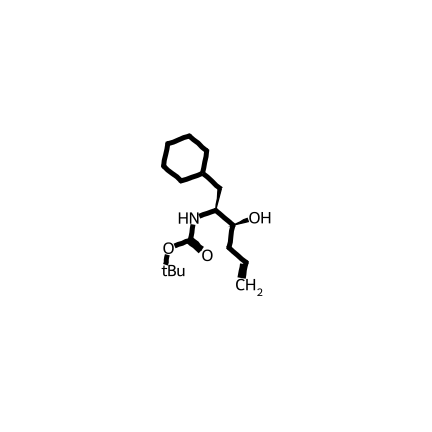 C=CC[C@H](O)[C@H](CC1CCCCC1)NC(=O)OC(C)(C)C